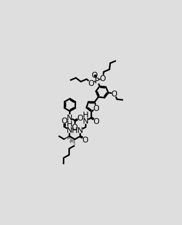 CCCCC[C@@H](C(=O)NCNC(=O)c1ccc(-c2cc(OCC)cc(P(=O)(OCCCC)OCCCC)c2)o1)[C@@H](CC)N(C=O)OC(=O)Nc1ccccc1